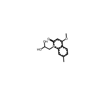 COc1cc(=O)n(CC(O)O)c2cc(C)ccc12